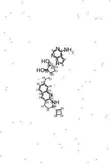 Nc1ncnc2c1ccn2[C@@H]1C[C@H](CCc2ccc3cc4c(nc3c2)N[C@H](C2CCC2)CC4)[C@@H](O)[C@H]1O